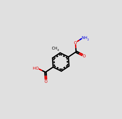 C.NOC(=O)c1ccc(C(=O)O)cc1